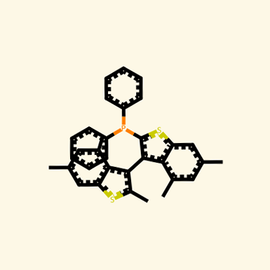 Cc1cc(C)c2c(-c3c(P(c4ccccc4)c4ccccc4)sc4cc(C)cc(C)c34)c(C)sc2c1